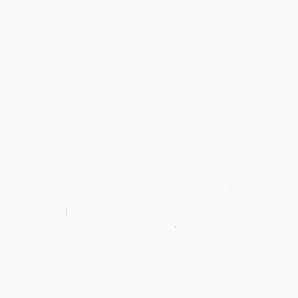 C=CCC(C(=O)Cl)c1ccccc1